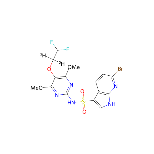 [2H]C([2H])(Oc1c(OC)nc(NS(=O)(=O)c2c[nH]c3nc(Br)ccc23)nc1OC)C(F)F